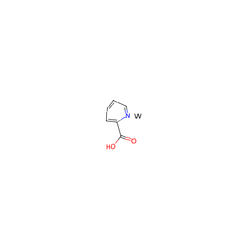 O=C(O)c1ccccn1.[W]